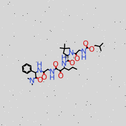 CCCC(NC(=O)[C@@H]1CC(C)(C)CN1C(=O)CNC(=O)OCC(C)C)C(=O)C(=O)NCC(=O)NC(C(=O)N(C)C)c1ccccc1